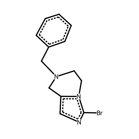 Brc1ncc2n1CCN(Cc1ccccc1)C2